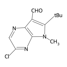 Cn1c(C(C)(C)C)c(C=O)c2ncc(Cl)nc21